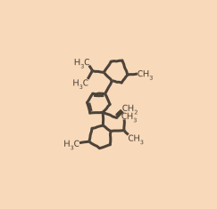 C=CC1(C2CC(C)CCC2C(C)C)C=CC=C(C2CC(C)CCC2C(C)C)C1